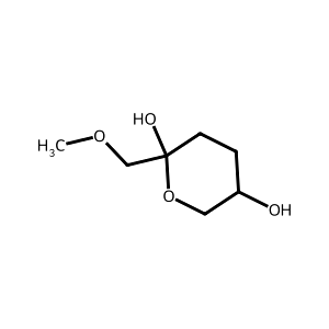 COCC1(O)CCC(O)CO1